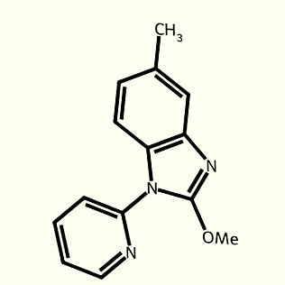 COc1nc2cc(C)ccc2n1-c1ccccn1